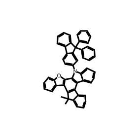 CC1(C)c2ccccc2-c2c1c1c3ccccc3oc1c1c2c2ccccc2n1-c1ccc2c(c1)C(c1ccccc1)(c1ccccc1)c1ccccc1-2